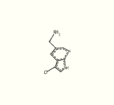 NCc1cnc2[nH]cc(Cl)c2c1